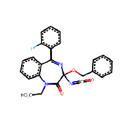 O=C=NC1(OCc2ccccc2)N=C(c2ccccc2F)c2ccccc2N(CC(=O)O)C1=O